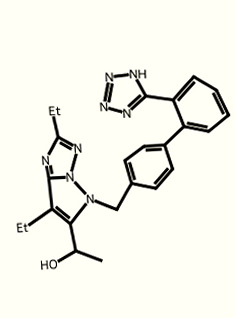 CCc1nc2c(CC)c(C(C)O)n(Cc3ccc(-c4ccccc4-c4nnn[nH]4)cc3)n2n1